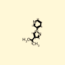 CC(C)c1cnn(-c2cccnc2)c1